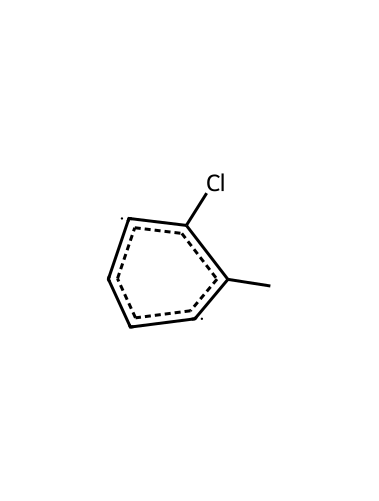 Cc1[c]cc[c]c1Cl